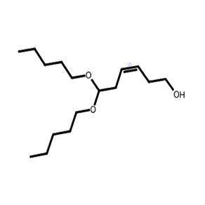 CCCCCOC(C/C=C\CCO)OCCCCC